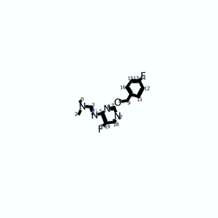 CN(C)/C=N/c1nc(OCc2ccc(F)cc2)ncc1F